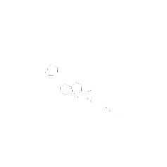 O=C(NC1CC(N2CCOCC2)C1)c1ccc2cc(Oc3ccc(C(F)(F)F)cn3)ccc2n1